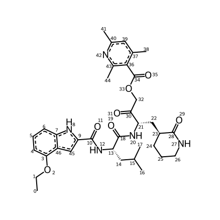 CCOc1cccc2[nH]c(C(=O)N[C@@H](CC(C)C)C(=O)N[C@@H](C[C@@H]3CCCNC3=O)C(=O)COC(=O)c3c(C)cc(C)nc3C)cc12